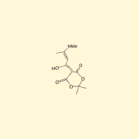 CNC(C)=CC(O)=C1C(=O)OC(C)(C)OC1=O